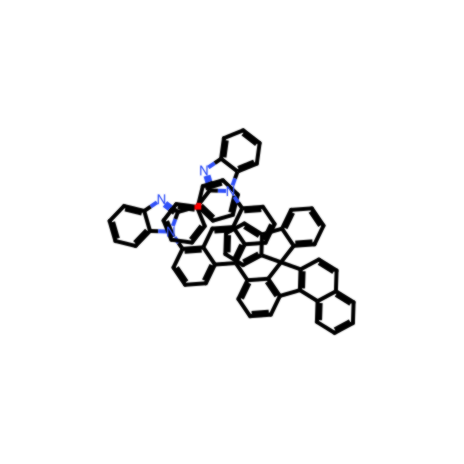 c1ccc(-c2nc3ccccc3n2-c2cccc3c(-c4cccc5c4C4(c6ccccc6-c6ccccc64)c4ccc6ccccc6c4-5)c4cccc(-n5c(-c6ccccc6)nc6ccccc65)c4cc23)cc1